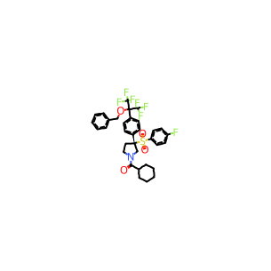 O=C(C1CCCCC1)N1CC[C@](c2ccc(C(OCc3ccccc3)(C(F)(F)F)C(F)(F)F)cc2)(S(=O)(=O)c2ccc(F)cc2)C1